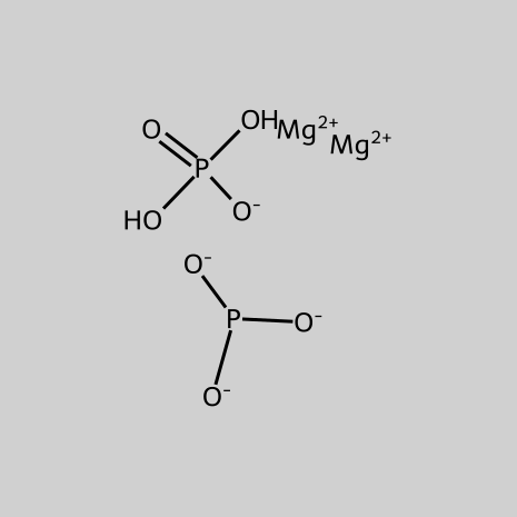 O=P([O-])(O)O.[Mg+2].[Mg+2].[O-]P([O-])[O-]